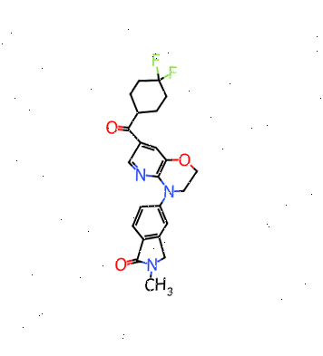 CN1Cc2cc(N3CCOc4cc(C(=O)C5CCC(F)(F)CC5)cnc43)ccc2C1=O